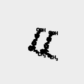 CCCCCn1cc(C2CCN(CCc3ccc(/C=C/C(=O)O)cc3)CC2)c2ccccc21.CCOCCn1cc(C2CCN(CCc3ccc(/C=C/C(=O)O)cc3)CC2)c2ccccc21